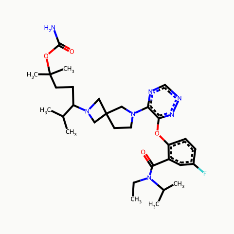 CCN(C(=O)c1cc(F)ccc1Oc1nncnc1N1CCC2(C1)CN(C(CCC(C)(C)OC(N)=O)C(C)C)C2)C(C)C